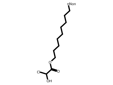 CCCCCCCCCCCCCCCCCCOC(=O)C(O)Cl